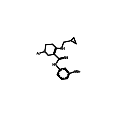 CSc1cccc(NC(=N)C2=C(NCC3CC3)CCN(C(C)=O)C2)c1